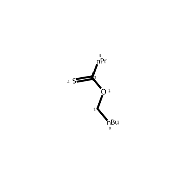 CCCCCOC(=S)CCC